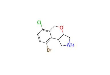 Clc1ccc(Br)c2c1COC1CNCC21